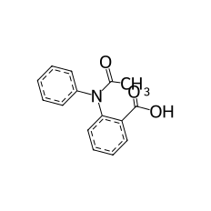 CC(=O)N(c1ccccc1)c1ccccc1C(=O)O